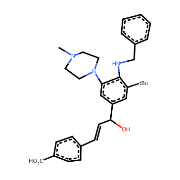 CN1CCN(c2cc(C(O)C=Cc3ccc(C(=O)O)cc3)cc(C(C)(C)C)c2NCc2ccccc2)CC1